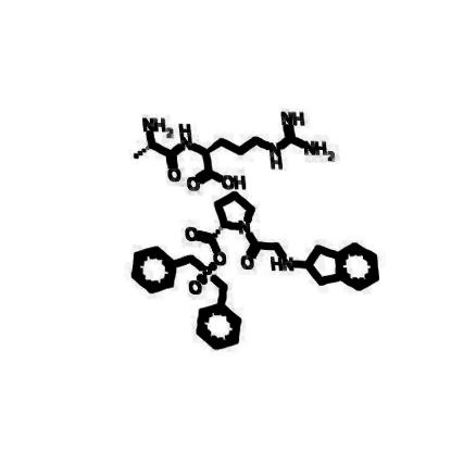 C[C@H](N)C(=O)N[C@@H](CCCNC(=N)N)C(=O)O.O=C(OP(=O)(Cc1ccccc1)Cc1ccccc1)[C@@H]1CCCN1C(=O)CNC1Cc2ccccc2C1